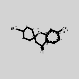 CC(C)(C)C1CCC2(CC1)CC(=O)c1ccc(C(F)(F)F)cc1O2